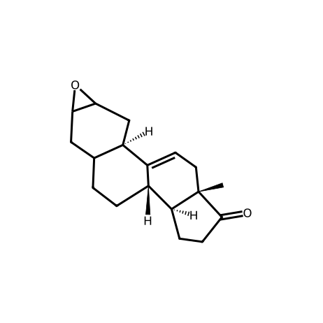 C[C@]12CC=C3[C@@H](CCC4CC5OC5C[C@@H]34)[C@@H]1CCC2=O